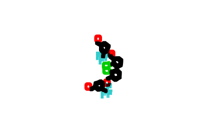 O=Cc1ccc(OCc2cccc(-c3cccc(COc4ccc(C=O)cc4C(F)(F)F)c3Cl)c2Cl)c(C(F)(F)F)c1